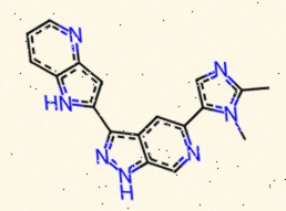 Cc1ncc(-c2cc3c(-c4cc5ncccc5[nH]4)n[nH]c3cn2)n1C